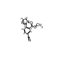 COC(=O)c1cc(C#N)ccc1-n1nccn1